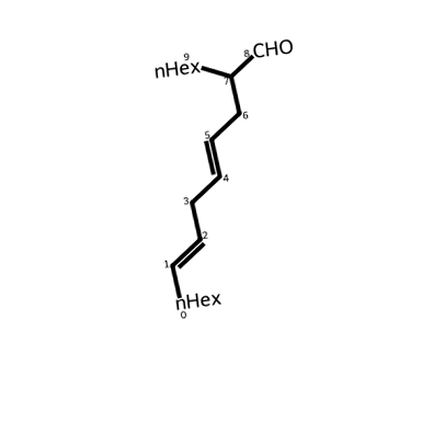 CCCCCCC=CCC=CCC(C=O)CCCCCC